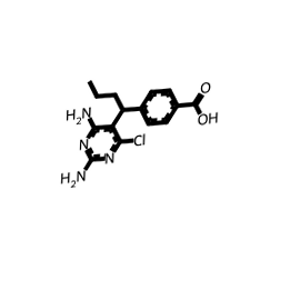 CCCC(c1ccc(C(=O)O)cc1)c1c(N)nc(N)nc1Cl